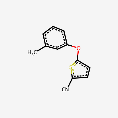 [C-]#[N+]c1ccc(Oc2cccc(C)c2)s1